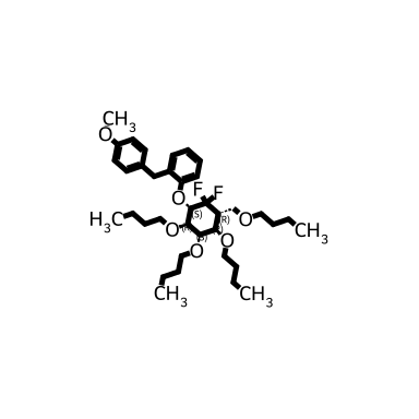 CCCCOC[C@@H]1[C@@H](OCCCC)[C@H](OCCCC)[C@@H](OCCCC)[C@H](Oc2ccccc2Cc2ccc(OC)cc2)C1(F)F